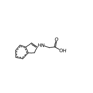 O=C(O)CNC1=Cc2ccccc2C1